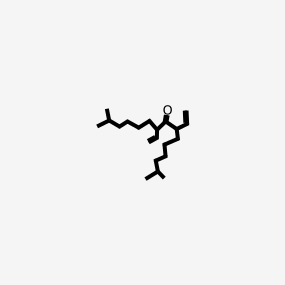 C=CC(CCCCC(C)C)C(=O)C(C=C)CCCCC(C)C